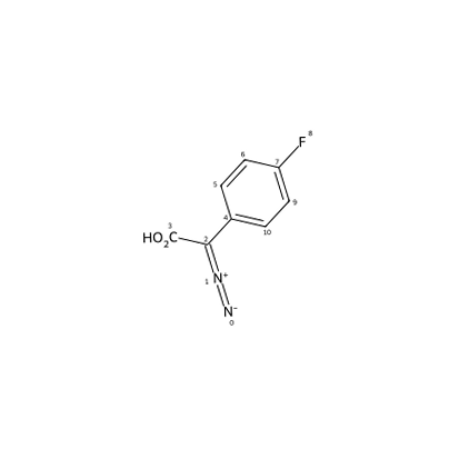 [N-]=[N+]=C(C(=O)O)c1ccc(F)cc1